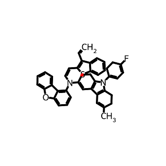 C=Cc1c(/C=C\N(C2=Cc3c4c(n(C5=CC=C(F)CC5)c3CC2)CCC(C)=C4)c2cccc3oc4ccccc4c23)sc2ccccc12